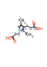 Cc1cn(CCC(=O)O)c(C)c1CCC(=O)O